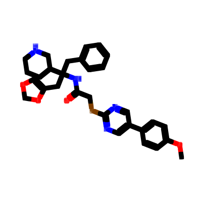 COc1ccc(-c2cnc(SCC(=O)NC(CC3=COCO3)(Cc3ccccc3)C3CCCNC3)nc2)cc1